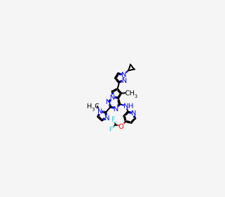 Cc1c(-c2ccn(C3CC3)n2)cn2nc(-c3nccn3C)nc(Nc3cc(OC(F)F)ccn3)c12